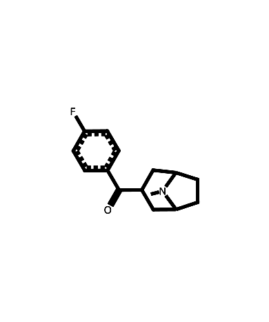 CN1C2CCC1CC(C(=O)c1ccc(F)cc1)C2